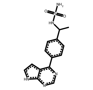 CC(NS(N)(=O)=O)c1ccc(-c2ncnc3[nH]ccc23)cc1